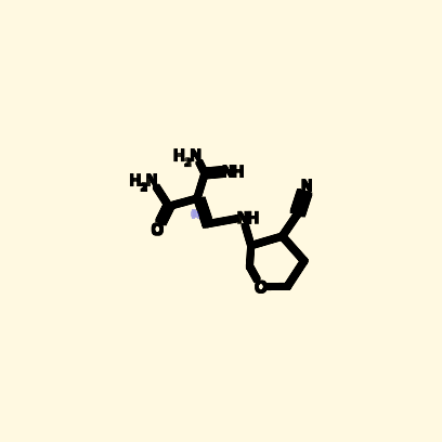 N#CC1CCOCC1N/C=C(\C(=N)N)C(N)=O